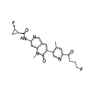 Cc1cc(C(=O)CCCF)ncc1-c1cc2cnc(NC(=O)[C@H]3C[C@H]3F)cc2n(C)c1=O